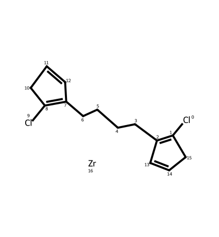 ClC1=C(CCCCC2=C(Cl)CC=C2)C=CC1.[Zr]